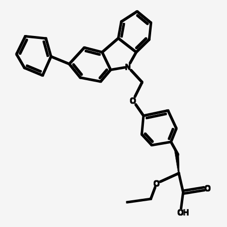 CCO[C@@H](Cc1ccc(OCn2c3ccccc3c3cc(-c4ccccc4)ccc32)cc1)C(=O)O